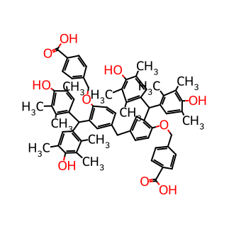 Cc1cc(C(c2cc(Cc3ccc(OCc4ccc(C(=O)O)cc4)c(C(c4cc(C)c(O)c(C)c4C)c4cc(C)c(O)c(C)c4C)c3)ccc2OCc2ccc(C(=O)O)cc2)c2cc(C)c(O)c(C)c2C)c(C)c(C)c1O